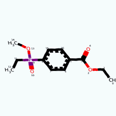 CCOC(=O)c1ccc(P(=O)(CC)OC)cc1